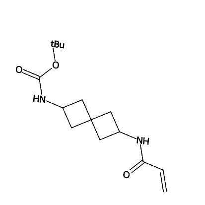 C=CC(=O)NC1CC2(C1)CC(NC(=O)OC(C)(C)C)C2